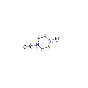 C[CH]N1CCN(C=O)CC1